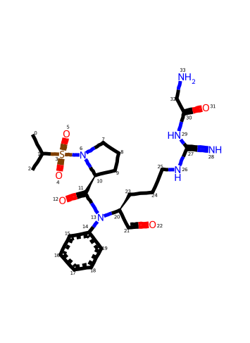 CC(C)S(=O)(=O)N1CCC[C@H]1C(=O)N(c1ccccc1)[C@H](C=O)CCCNC(=N)NC(=O)CN